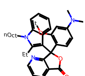 CCCCCCCCn1c(CC)c(C2(c3ccc(N(C)C)cc3OCC)OC(=O)c3cccnc32)c2ccccc21